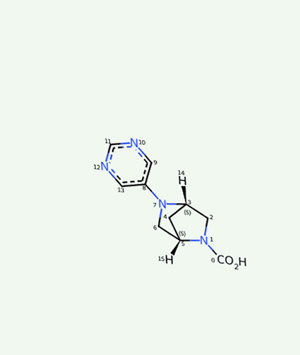 O=C(O)N1C[C@@H]2C[C@H]1CN2c1cncnc1